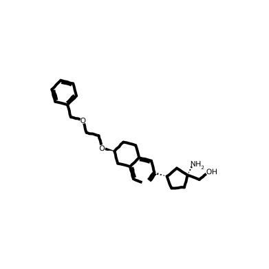 C=C(/C=C1/CC[C@H](OCCOCc2ccccc2)C/C1=C/C)[C@H]1CC[C@](N)(CO)C1